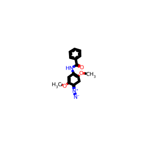 COC1=CC(NC(=O)c2ccccc2)=C(OC)CC1=[N+]=[N-]